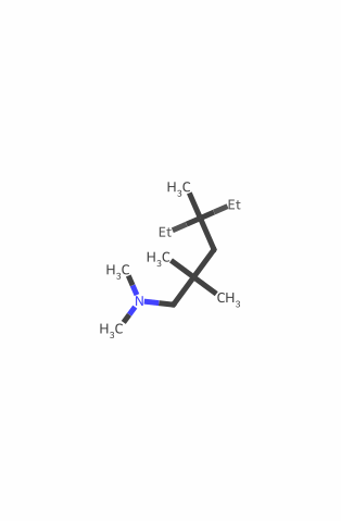 CCC(C)(CC)CC(C)(C)CN(C)C